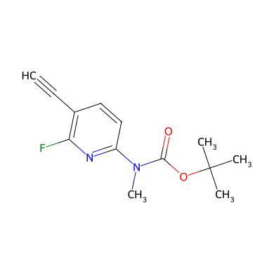 C#Cc1ccc(N(C)C(=O)OC(C)(C)C)nc1F